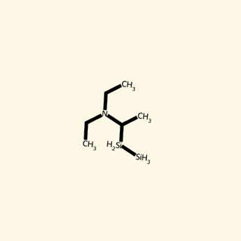 CCN(CC)C(C)[SiH2][SiH3]